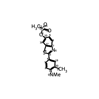 CNc1ccc(-c2nc3ccc(OS(C)(=O)=O)cc3s2)cc1C